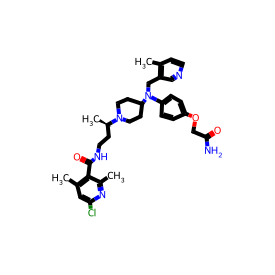 Cc1ccncc1CN(c1ccc(OCC(N)=O)cc1)C1CCN([C@H](C)CCNC(=O)c2c(C)cc(Cl)nc2C)CC1